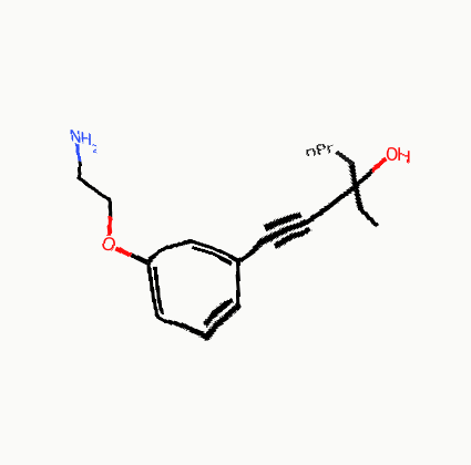 CCCC(C)(O)C#Cc1cccc(OCCN)c1